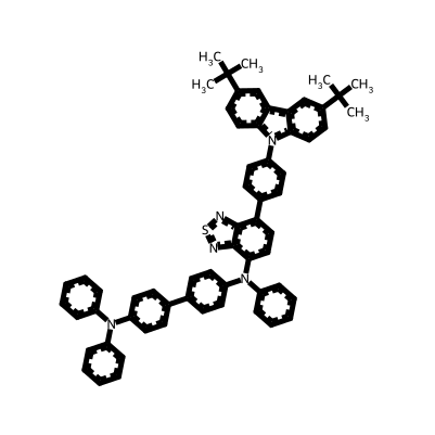 CC(C)(C)c1ccc2c(c1)c1cc(C(C)(C)C)ccc1n2-c1ccc(-c2ccc(N(c3ccccc3)c3ccc(-c4ccc(N(c5ccccc5)c5ccccc5)cc4)cc3)c3nsnc23)cc1